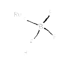 F[B-](F)(F)F.[H+].[Ru]